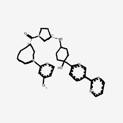 O=C([C@H]1CCCN(c2cc(C(F)(F)F)ccn2)C1)N1CC[C@H](NC2CCC(O)(c3ccc(-c4ncccn4)cn3)CC2)C1